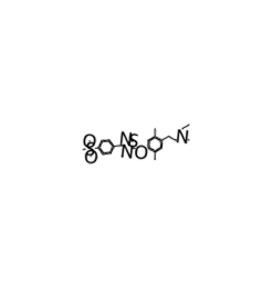 CCN(C)CCc1cc(C)c(Oc2nc(-c3ccc(S(C)(=O)=O)cc3)ns2)cc1C